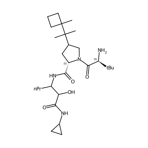 CCCC(NC(=O)[C@@H]1CC(C(C)(C)C2(C)CCC2)CN1C(=O)[C@@H](N)C(C)(C)C)C(O)C(=O)NC1CC1